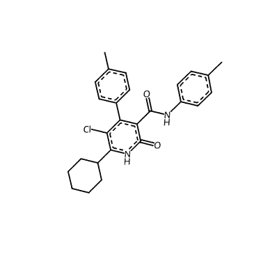 Cc1ccc(NC(=O)c2c(-c3ccc(C)cc3)c(Cl)c(C3CCCCC3)[nH]c2=O)cc1